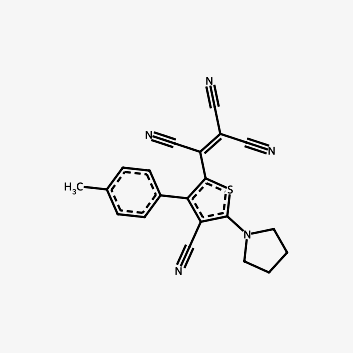 Cc1ccc(-c2c(C(C#N)=C(C#N)C#N)sc(N3CCCC3)c2C#N)cc1